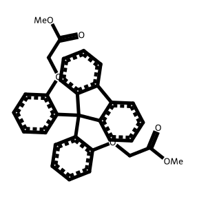 COC(=O)COc1ccccc1C1(c2ccccc2OCC(=O)OC)c2ccccc2-c2ccccc21